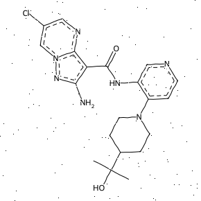 CC(C)(O)C1CCN(c2ccncc2NC(=O)c2c(N)nn3cc(Cl)cnc23)CC1